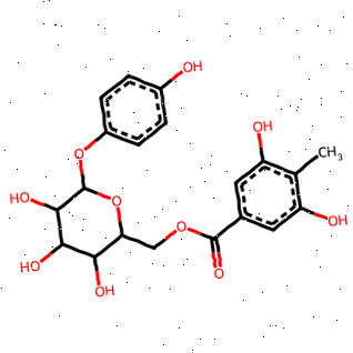 Cc1c(O)cc(C(=O)OCC2OC(Oc3ccc(O)cc3)C(O)C(O)C2O)cc1O